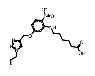 O=C(O)CCCCCNc1cc(OCc2cn(CCF)nn2)ccc1[N+](=O)[O-]